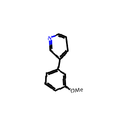 COc1cccc(-c2cccnc2)c1